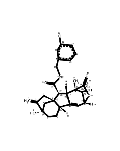 C=C1C[C@]23C[C@@]1(O)CC[C@H]2C1=C[C@H]2OC(=O)[C@@](C)([C@H]1[C@@H]3C(=O)NCc1cccc(Cl)c1)[C@H]2O